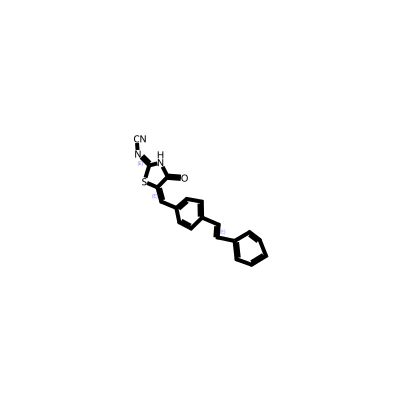 N#C/N=C1\NC(=O)/C(=C\c2ccc(/C=C/c3ccccc3)cc2)S1